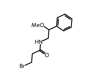 COC(CNC(=O)CCBr)c1ccccc1